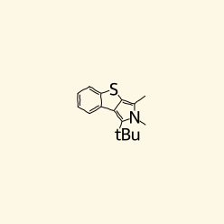 Cc1c2sc3ccccc3c2c(C(C)(C)C)n1C